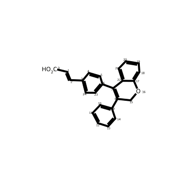 O=C(O)C=Cc1ccc(C2=C(c3ccccc3)COc3ccccc32)cc1